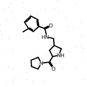 Cc1cccc(C(=O)NCC2CNC(C(=O)N3CCCC3)C2)c1